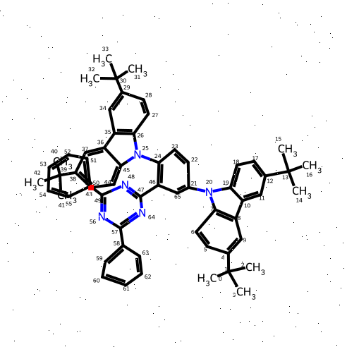 CC(C)(C)c1ccc2c(c1)c1cc(C(C)(C)C)ccc1n2-c1ccc(-n2c3ccc(C(C)(C)C)cc3c3cc(C(C)(C)C)ccc32)c(-c2nc(-c3ccccc3)nc(-c3ccccc3)n2)c1